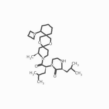 CC(C)C[C@@H]1NCCN([C@@H](CC(C)C)C(=O)N2CCC3(C[C@@H]2C)OCC2(CCCCC2N2CCC2)CO3)C1=O